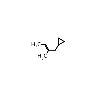 CC=C(C)CC1[CH]C1